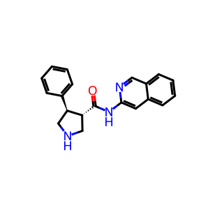 O=C(Nc1cc2ccccc2cn1)[C@@H]1CNC[C@H]1c1ccccc1